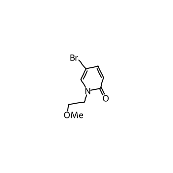 COCCn1cc(Br)ccc1=O